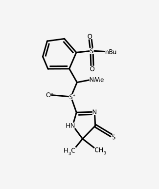 CCCCS(=O)(=O)c1ccccc1C(NC)[S+]([O-])C1=NC(=S)C(C)(C)N1